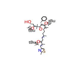 C/C(=C\C[C@H](O[Si](C)(C)C(C)(C)C)/C(C)=C/c1csc(C)n1)CCC[C@H](C)[C@H](O[Si](C)(C)C(C)(C)C)[C@@H](Cc1ccccc1)C(=O)C(C)(C)[C@H](CCO)O[Si](C)(C)C(C)(C)C